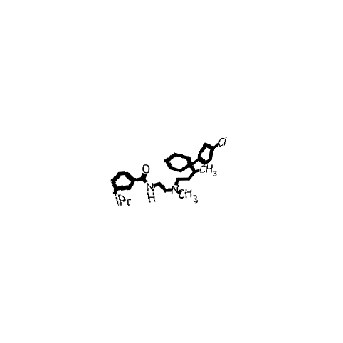 CC(C)c1cccc(C(=O)NCCN(C)CCC(C)C2(c3ccc(Cl)cc3)CCCCC2)c1